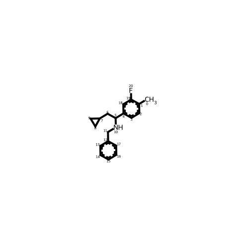 Cc1ccc(C(CC2CC2)NCc2ccccc2)cc1F